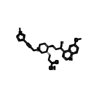 COc1ccc2nccc([C@H](F)CC[C@@H]3CCN(CC#Cc4ccn(C)c4)C[C@H]3CCC(=O)O)c2c1